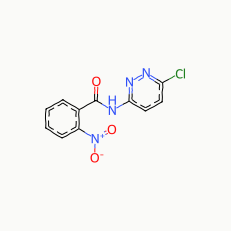 O=C(Nc1ccc(Cl)nn1)c1ccccc1[N+](=O)[O-]